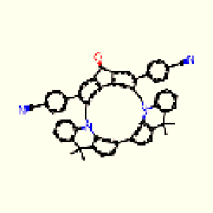 CC1(C)c2ccccc2N2Cc3cc4c(cc3-c3ccc(C#N)cc3)C(=O)c3cc(-c5ccc(C#N)cc5)c(cc3-4)CN3c4ccccc4C(C)(C)c4ccc(cc43)-c3ccc1c2c3